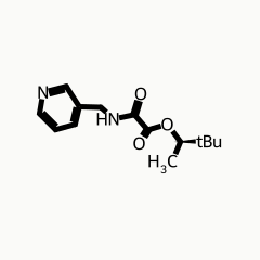 C[C@@H](OC(=O)C(=O)NCc1cccnc1)C(C)(C)C